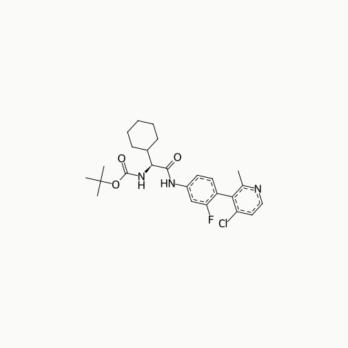 Cc1nccc(Cl)c1-c1ccc(NC(=O)[C@@H](NC(=O)OC(C)(C)C)C2CCCCC2)cc1F